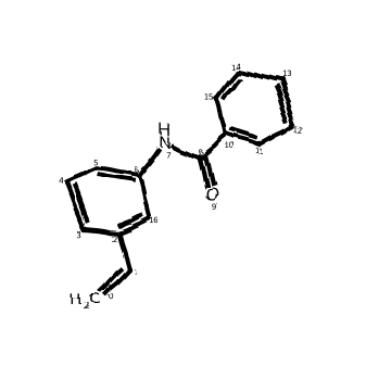 C=Cc1cccc(NC(=O)c2ccccc2)c1